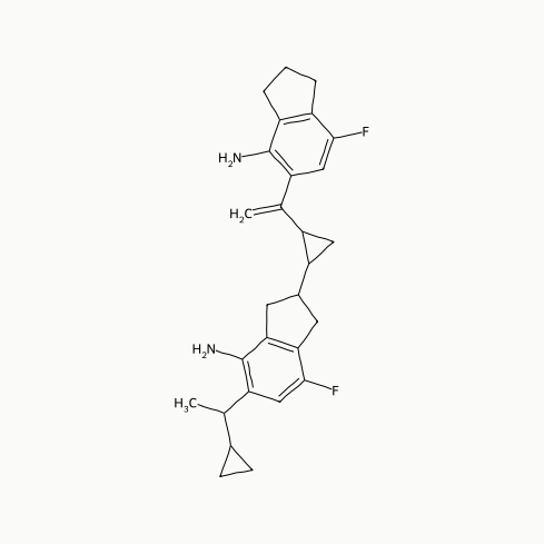 C=C(c1cc(F)c2c(c1N)CCC2)C1CC1C1Cc2c(F)cc(C(C)C3CC3)c(N)c2C1